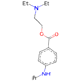 CCN(CC)CCOC(=O)c1ccc(NC(C)C)cc1